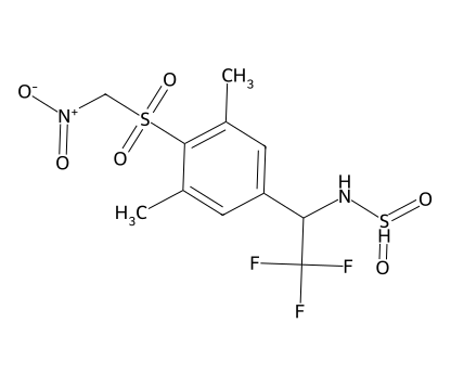 Cc1cc(C(N[SH](=O)=O)C(F)(F)F)cc(C)c1S(=O)(=O)C[N+](=O)[O-]